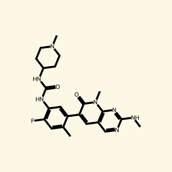 CNc1ncc2cc(-c3cc(NC(=O)NC4CCN(C)CC4)c(F)cc3C)c(=O)n(C)c2n1